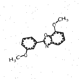 COc1cccc(-c2nc3cccc(OC)c3o2)c1